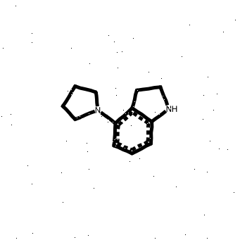 c1cc2c(c(N3CCCC3)c1)CCN2